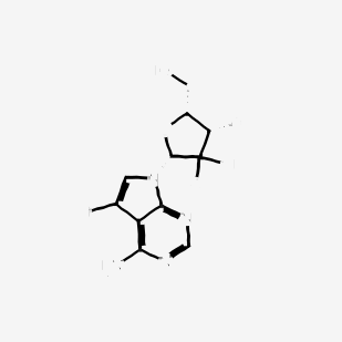 CC1(O)[C@@H](O)[C@@H](CO)O[C@H]1n1cc(I)c2c(N)ncnc21